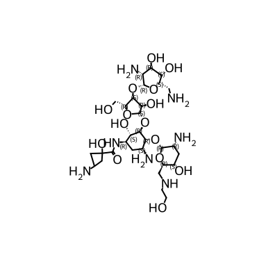 NC[C@@H]1O[C@H](O[C@H]2[C@@H](O)[C@H](O[C@@H]3[C@@H](O)[C@H](NC(=O)C4(O)CC(N)C4)C[C@H](N)[C@H]3O[C@H]3O[C@H](CNCCO)[C@@H](O)C[C@H]3N)O[C@@H]2CO)[C@H](N)[C@@H](O)[C@@H]1O